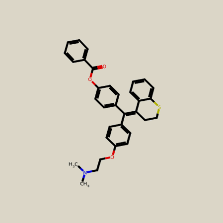 CN(C)CCOc1ccc(C(=C2CCSc3ccccc32)c2ccc(OC(=O)c3ccccc3)cc2)cc1